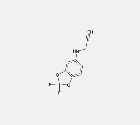 C#CCNc1ccc2c(c1)OC(F)(F)O2